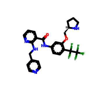 O=C(Nc1ccc(C(F)(F)C(F)(F)F)c(OC[C@@H]2CCCN2)c1)c1cccnc1NCc1ccncc1